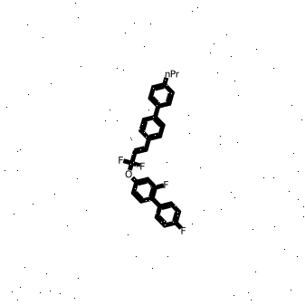 CCCc1ccc(-c2ccc(/C=C/C(F)(F)Oc3ccc(-c4ccc(F)cc4)c(F)c3)cc2)cc1